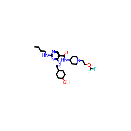 CCCCNc1ncc(C(=O)NC2CCN(CCOC(F)F)CC2)c(/N=C/C2CCC(O)CC2)n1